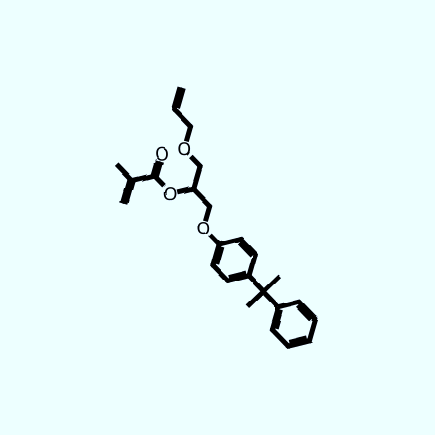 C=CCOCC(COc1ccc(C(C)(C)c2ccccc2)cc1)OC(=O)C(=C)C